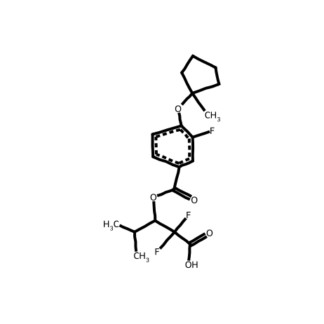 CC(C)C(OC(=O)c1ccc(OC2(C)CCCC2)c(F)c1)C(F)(F)C(=O)O